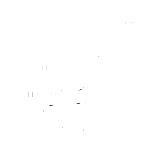 CCCCCCCO[C@@H]1[C@@H](CO)O[C@@]2(OC)COC(C)(C)O[C@@H]12